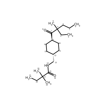 CCCC(C)(CC)C(=O)[C@H]1CC[C@H](CNC(=O)C(C)(C)CC)CC1